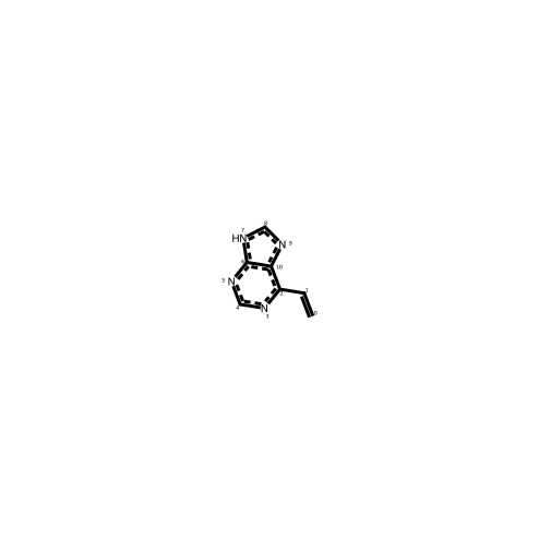 C=Cc1ncnc2[nH]cnc12